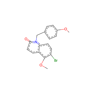 COc1ccc(Cn2c(=O)ccc3c(OC)c(Br)ccc32)cc1